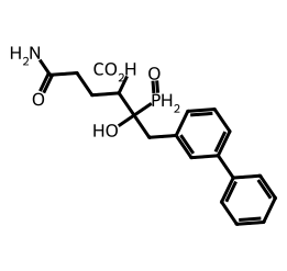 NC(=O)CCC(C(=O)O)C(O)(Cc1cccc(-c2ccccc2)c1)[PH2]=O